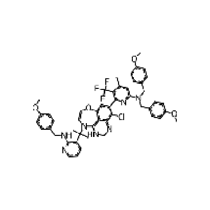 COc1ccc(CNc2ncccc2C(C)(C)N2C=COc3cc(-c4nc(N(Cc5ccc(OC)cc5)Cc5ccc(OC)cc5)cc(C)c4C(F)(F)F)c(Cl)c4c3=C2NCN=4)cc1